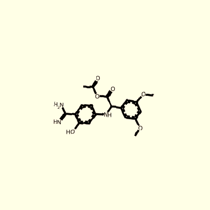 COc1cc(OC)cc(C(Nc2ccc(C(=N)N)c(O)c2)C(=O)OC(C)=O)c1